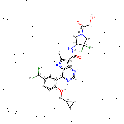 Cc1[nH]c2c(-c3cc(C(F)F)ccc3OCC3CC3)ncnc2c1C(=O)NC1CN(C(=O)CO)CC1(F)F